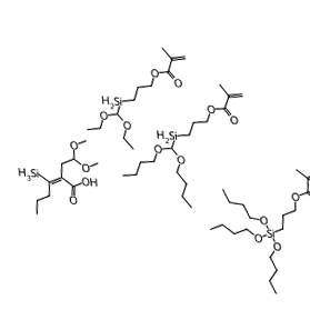 C=C(C)C(=O)OCCC[SiH2]C(OCC)OCC.C=C(C)C(=O)OCCC[SiH2]C(OCCCC)OCCCC.C=C(C)C(=O)OCCC[Si](OCCCC)(OCCCC)OCCCC.CCCC([SiH3])=C(CC(OC)OC)C(=O)O